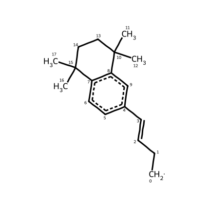 [CH2]CC=Cc1ccc2c(c1)C(C)(C)CCC2(C)C